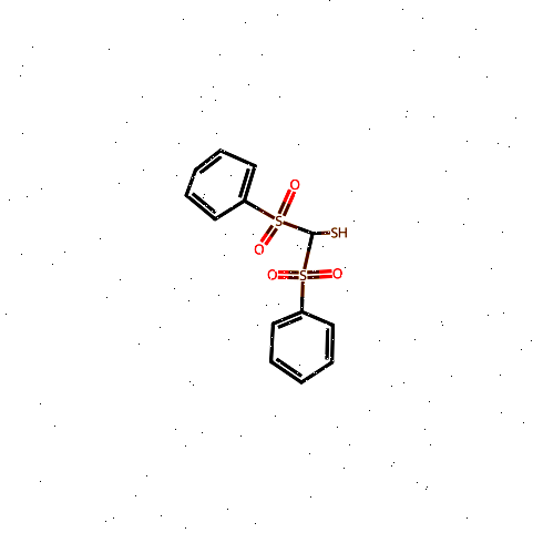 O=S(=O)(c1ccccc1)C(S)S(=O)(=O)c1ccccc1